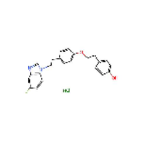 Cl.Oc1ccc(CCOc2ccc(CCn3cnc4cc(F)ccc43)cc2)cc1